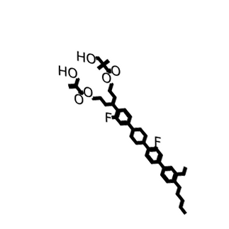 C=C(CO)C(=O)OCCCC(CCCOC(=O)C(C)(C)CO)c1ccc(C2CCC(c3ccc(-c4ccc(CCCCC)c(CC)c4)cc3F)CC2)cc1F